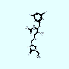 CCN1C[C@H](CNC[C@@H](O)[C@H](Cc2cc(F)cc(F)c2)NC(=O)O)OC1=O